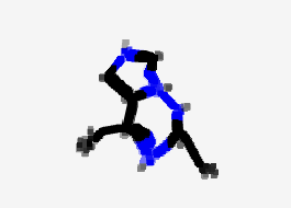 Cc1nc(C)c2cncn2n1